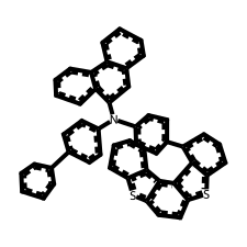 c1ccc(-c2ccc(N(c3ccc(-c4cccc5sc6ccc7sc8ccccc8c7c6c45)cc3)c3cc4ccccc4c4ccccc34)cc2)cc1